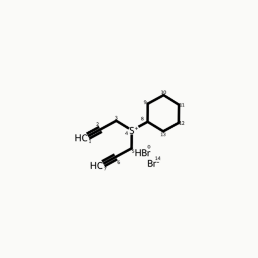 Br.C#CC[S+](CC#C)C1CCCCC1.[Br-]